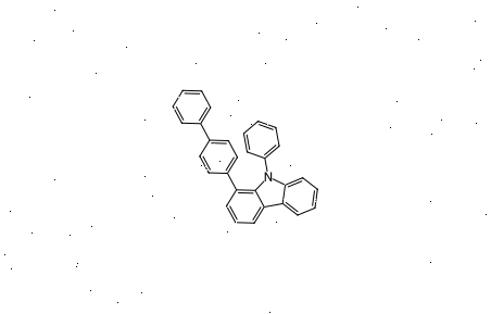 c1ccc(-c2ccc(-c3cccc4c5ccccc5n(-c5ccccc5)c34)cc2)cc1